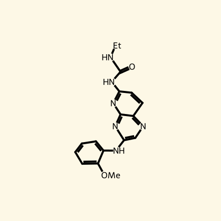 CCNC(=O)Nc1ccc2ncc(Nc3ccccc3OC)nc2n1